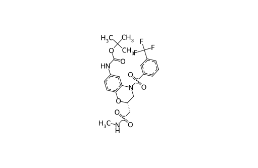 CNS(=O)(=O)C[C@H]1CN(S(=O)(=O)c2cccc(C(F)(F)F)c2)c2cc(NC(=O)OC(C)(C)C)ccc2O1